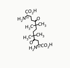 CC(C)(CCC(C)(C)C(=O)C[C@H](N)C(=O)O)C(=O)CC[C@H](N)C(=O)O